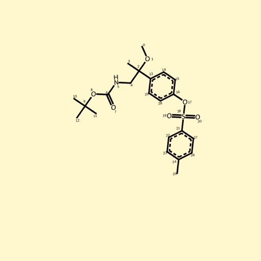 COC(C)(CNC(=O)OC(C)(C)C)c1ccc(OS(=O)(=O)c2ccc(C)cc2)cc1